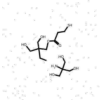 CCC(CO)(CO)COC(=O)CCS.NC(CO)(CO)CO